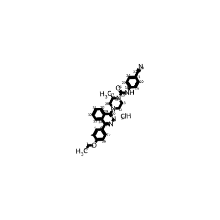 CCOc1ccc(-c2nnc(N3CCN(C(=O)Nc4ccc(C#N)cc4)[C@@H](C)C3)c3ccccc23)cc1.Cl